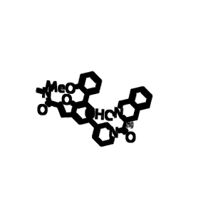 COc1ccccc1-c1cc(C2=CCCN(C(=O)[C@@H]3Cc4ccccc4CN3C=O)C2)cc2cc(C(=O)N(C)C)oc12